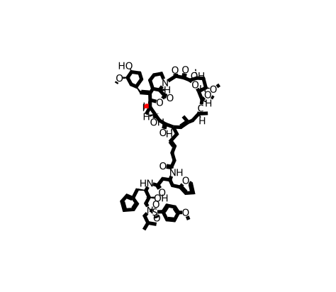 COc1ccc(S(=O)(=O)N(CC(C)C)C[C@H](O)[C@@H](Cc2ccccc2)NC(=O)CC(Cc2ccco2)NC(=O)CC/C=C/C[C@@H]2/C=C(\C)C[C@H](C)C[C@H](OC)[C@H]3O[C@@](O)(C(=O)C(=O)N4CCCC5/C(=C\[C@@H]6CC[C@@H](O)[C@H](OC)C6)[C@@H](OC(=O)[C@H]54)[C@H](C)[C@@H](O)CC2=O)[C@H](C)C[C@@H]3OC)cc1